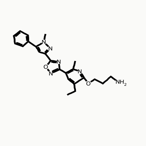 CCc1cc(-c2noc(-c3cc(-c4ccccc4)n(C)n3)n2)c(C)nc1OCCCN